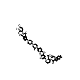 C[C@@H](O)[C@@H]1[C@H](N2CCn3c(cc4c3CC(C)(C)C4)C2=O)CCCN1c1cc(Nc2ccc(N3CCN(C4CCN(c5ccc6c(c5)C(=O)N(C5CCC(=O)NC5=O)C6=O)CC4)C[C@@H]3C)cn2)c(=O)n(C)c1